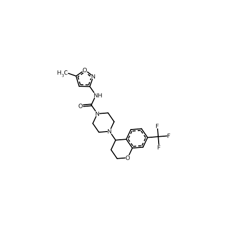 Cc1cc(NC(=O)N2CCN(C3CCOc4cc(C(F)(F)F)ccc43)CC2)no1